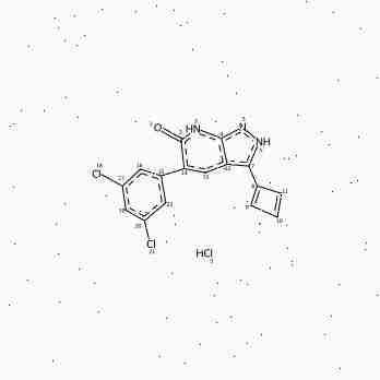 Cl.O=c1[nH]c2n[nH]c(C3=CC=C3)c2cc1-c1cc(Cl)cc(Cl)c1